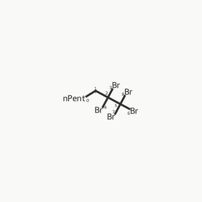 CCCCC[CH]C(Br)(Br)C(Br)(Br)Br